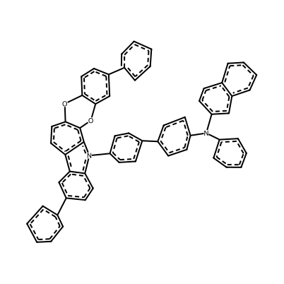 c1ccc(-c2ccc3c(c2)Oc2c(ccc4c5cc(-c6ccccc6)ccc5n(-c5ccc(-c6ccc(N(c7ccccc7)c7ccc8ccccc8c7)cc6)cc5)c24)O3)cc1